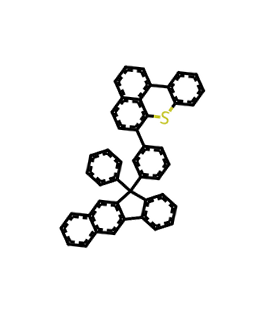 c1ccc(C2(c3cccc(-c4ccc5cccc6c5c4Sc4ccccc4-6)c3)c3ccccc3-c3cc4ccccc4cc32)cc1